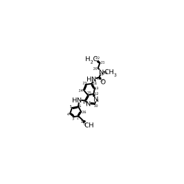 C#Cc1cccc(Nc2ncnc3cc(NC(=O)N(C)CC=C)ccc23)c1